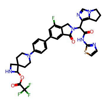 O=C(Nc1nccs1)C(c1ncn2c1CCC2)N1Cc2c(F)cc(-c3ccc(N4CCC5(CC4)CNC5OC(=O)C(F)(F)F)cc3)cc2C1=O